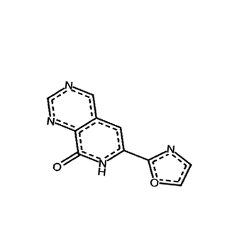 O=c1[nH]c(-c2ncco2)cc2cncnc12